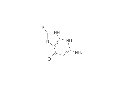 Nc1cc(=O)c2nc(F)[nH]c2[nH]1